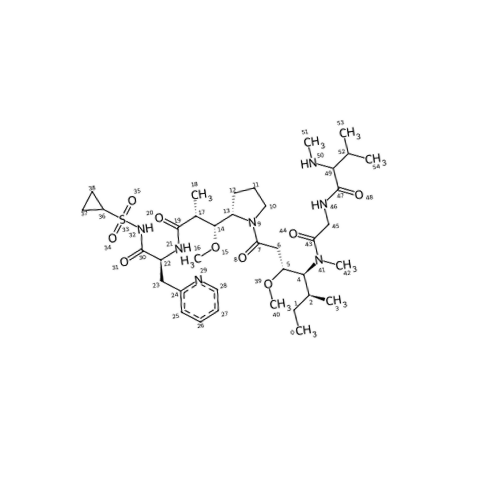 CC[C@H](C)[C@@H]([C@@H](CC(=O)N1CCC[C@H]1[C@H](OC)[C@@H](C)C(=O)N[C@@H](Cc1ccccn1)C(=O)NS(=O)(=O)C1CC1)OC)N(C)C(=O)CNC(=O)C(NC)C(C)C